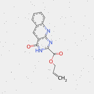 C=CCOC(=O)c1nc2nc3ccccc3cc2c(=O)[nH]1